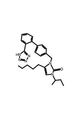 CCCCCc1cn(C(C)CC)c(=O)n1Cc1ccc(-c2ccccc2-c2nnn[nH]2)cc1